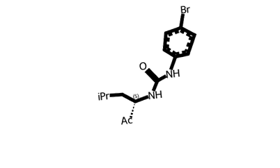 CC(=O)[C@H](CC(C)C)NC(=O)Nc1ccc(Br)cc1